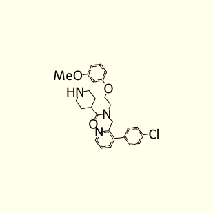 COc1cccc(OCCN(Cc2ncccc2-c2ccc(Cl)cc2)C(=O)C2CCNCC2)c1